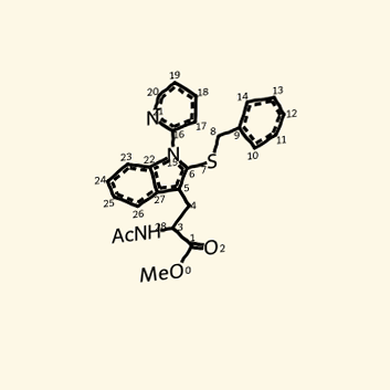 COC(=O)C(Cc1c(SCc2ccccc2)n(-c2ccccn2)c2ccccc12)NC(C)=O